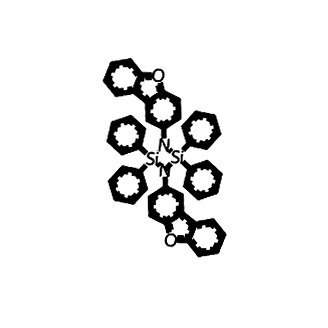 c1ccc([Si]2(c3ccccc3)N(c3ccc4oc5ccccc5c4c3)[Si](c3ccccc3)(c3ccccc3)N2c2ccc3oc4ccccc4c3c2)cc1